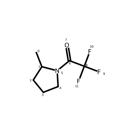 CC1CCCN1C(=O)C(F)(F)F